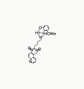 COc1cccc2c1[C@@H]1CN(CCCCC3[N+](=O)Cc4c(ccc5ncccc45)[N+]3=O)C[C@@H]1CO2